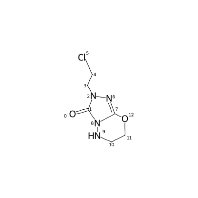 O=c1n(CCCl)nc2n1NCCO2